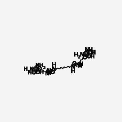 N[C@@H]1C[C@H](N)[C@@H](OCCCc2cn(CC(=O)NCCCCCCCCCCNC(=O)Cn3cc(CCCO[C@H]4[C@H](O)[C@@H](O)[C@H](N)C[C@@H]4N)nn3)nn2)[C@H](O)[C@H]1O